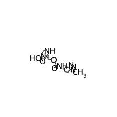 Cn1nnc2cc(CNC(=O)c3cccc(C[C@H]4CNCCN4C(=O)O)c3)ccc21